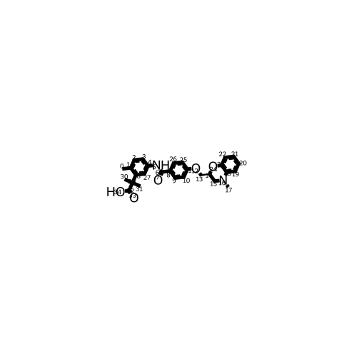 Cc1ccc(NC(=O)c2ccc(OC[C@@H]3CN(C)c4ccccc4O3)cc2)cc1C(C)(C)C(=O)O